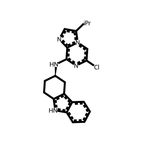 CC(C)c1cnc2c(N[C@@H]3CCc4[nH]c5ccccc5c4C3)nc(Cl)cn12